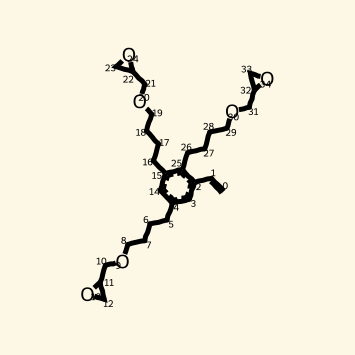 C=Cc1cc(CCCCOCC2CO2)cc(CCCCOCC2CO2)c1CCCCOCC1CO1